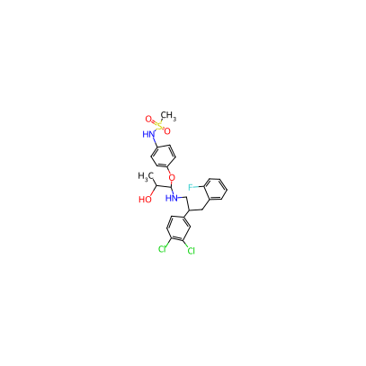 CC(O)C(NCC(Cc1ccccc1F)c1ccc(Cl)c(Cl)c1)Oc1ccc(NS(C)(=O)=O)cc1